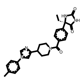 CC[C@]1(c2ccc(C(=O)N3CCC(c4cn(-c5ccc(C)cc5)cn4)CC3)cc2)NC(=O)NC1=O